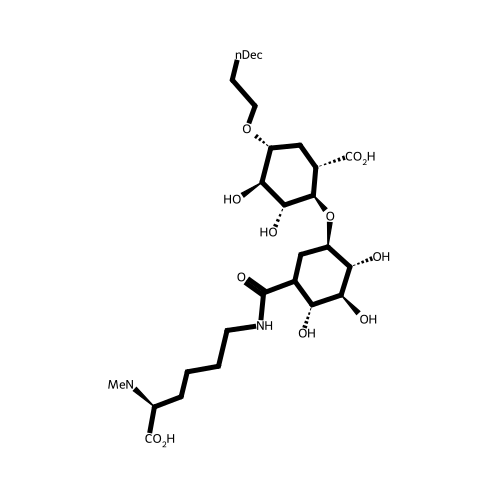 CCCCCCCCCCCCO[C@@H]1C[C@H](C(=O)O)[C@@H](O[C@@H]2CC(C(=O)NCCCC[C@H](NC)C(=O)O)[C@@H](O)[C@H](O)[C@H]2O)[C@H](O)[C@H]1O